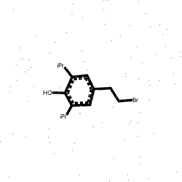 CC(C)c1cc(CCBr)cc(C(C)C)c1O